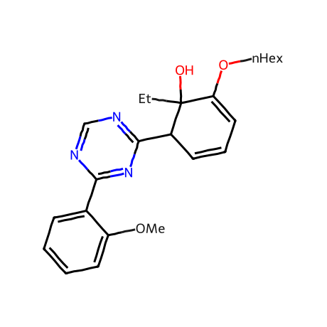 CCCCCCOC1=CC=CC(c2ncnc(-c3ccccc3OC)n2)C1(O)CC